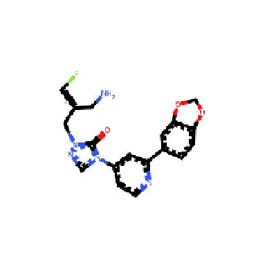 NC/C(=C\F)Cn1ncn(-c2ccnc(-c3ccc4c(c3)OCO4)c2)c1=O